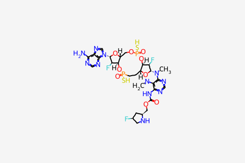 C=Nc1c(NC(=O)OC[C@@H]2C[C@H](F)CN2)ncnc1N(C)[C@@H]1O[C@@H]2CC[P@](=O)(S)O[C@H]3[C@@H](F)[C@H](n4cnc5c(N)ncnc54)O[C@@H]3CO[P@@](=O)(S)O[C@H]2[C@H]1F